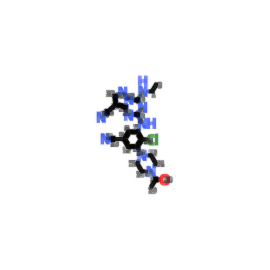 CCNc1nc(Nc2cc(C#N)cc(N3CCN(C(C)=O)CC3)c2Cl)nc2c(C#N)cnn12